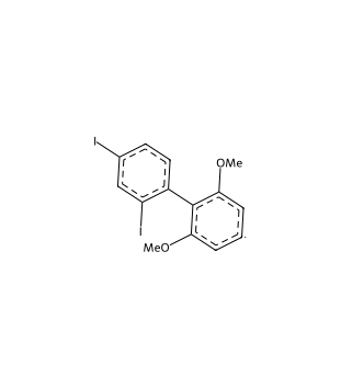 COc1c[c]cc(OC)c1-c1ccc(I)cc1I